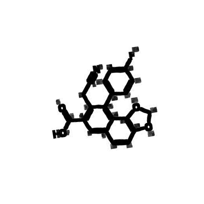 N#CCc1c(C(=O)O)cc2ccc3c(c2c1-c1ccc(F)cc1)OCO3